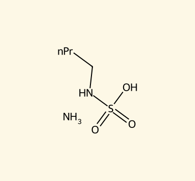 CCCCNS(=O)(=O)O.N